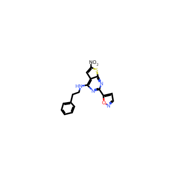 O=[N+]([O-])c1cc2c(NCCc3ccccc3)nc(-c3ccno3)nc2s1